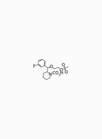 CS(=O)(=O)OCCO[C@H](c1cccc(F)c1)C1CCCCN1C(=O)O